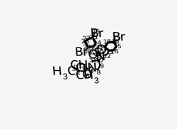 CC(C)(C)OC(=O)N1CC[C@@H](N(Cc2ccc(Br)cc2)S(=O)(=O)c2cc(Br)ccc2Br)C1